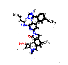 Cn1cnnc1-c1ccc(C(F)(F)F)cc1-c1cc(NCCCC#N)nc(N2Cc3c(cc(CN(C)[C@H]4C[C@@H](O)C4)cc3C(F)(F)F)C2=O)c1